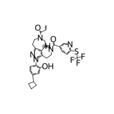 C=CC(=O)N1CCc2nn(-c3ccc(C4CCC4)cc3O)c3c2[C@H](C1)N(C(=O)c1ccc(SC(F)(F)F)nc1)CC3